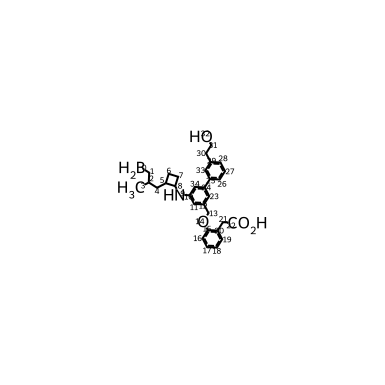 BCC(C)CC1CCC1Nc1cc(COc2ccccc2CC(=O)O)cc(-c2cccc(CCO)c2)c1